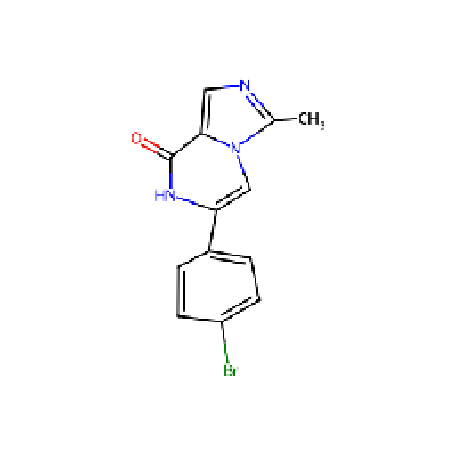 Cc1ncc2c(=O)[nH]c(-c3ccc(Br)cc3)cn12